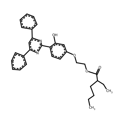 CCCCC(CC)C(=O)OCCOc1ccc(-c2nc(-c3ccccc3)cc(-c3ccccc3)n2)c(O)c1